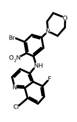 O=[N+]([O-])c1c(Br)cc(N2CCOCC2)cc1Nc1ccnc2c(Cl)ccc(F)c12